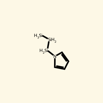 [SiH3][SiH2][SiH2]n1cccc1